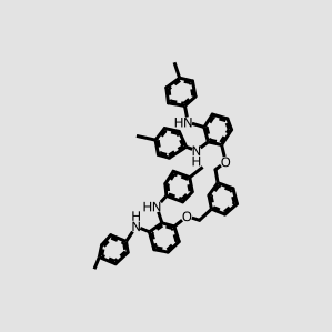 Cc1ccc(Nc2cccc(OCc3cccc(COc4cccc(Nc5ccc(C)cc5)c4Nc4ccc(C)cc4)c3)c2Nc2ccc(C)cc2)cc1